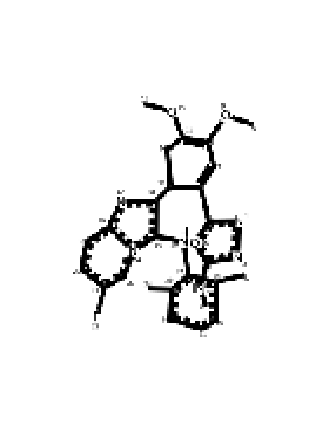 CNc1nnc(C2=CC(OC)=C(OC)CC2c2nc3ccc(F)cn3c2Nc2c(C)cccc2C)o1